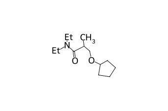 CCN(CC)C(=O)C(C)COC1CCCC1